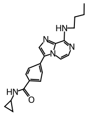 CCCCNc1nccn2c(-c3ccc(C(=O)NC4CC4)cc3)cnc12